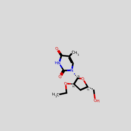 CCO[C@@H]1C[C@@H](CO)O[C@H]1n1cc(C)c(=O)[nH]c1=O